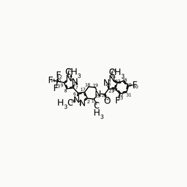 CC1c2nn(C)c(-c3cc(C(F)(F)F)n(C)n3)c2CCN1C(=O)c1nn(C)c2cc(F)cc(F)c12